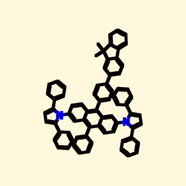 CC1(C)c2ccccc2-c2ccc(-c3ccc(-c4c5ccc(-n6c(-c7ccccc7)ccc6-c6ccccc6)cc5c(-c5ccccc5)c5ccc(-n6c(-c7ccccc7)ccc6-c6ccccc6)cc45)cc3)cc21